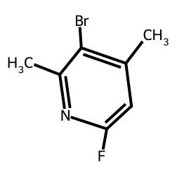 Cc1cc(F)nc(C)c1Br